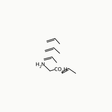 C=CC.C=CC.C=CC.C=CC.NCC(=O)O